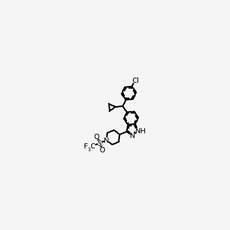 O=S(=O)(N1CCC(c2n[nH]c3ccc(C(c4ccc(Cl)cc4)C4CC4)cc23)CC1)C(F)(F)F